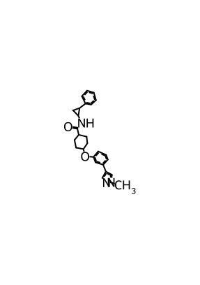 Cn1cc(-c2cccc(OC3CCC(C(=O)NC4CC4c4ccccc4)CC3)c2)cn1